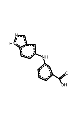 O=C(O)c1cccc(Nc2ccc3[nH]ncc3c2)c1